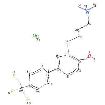 COc1ccc(-c2ccc(C(F)(F)F)cc2)cc1CCCCN(C)C.Cl